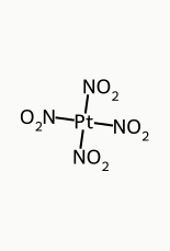 O=[N+]([O-])[Pt]([N+](=O)[O-])([N+](=O)[O-])[N+](=O)[O-]